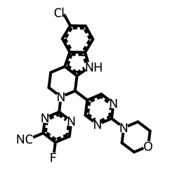 N#Cc1nc(N2CCc3c([nH]c4ccc(Cl)cc34)C2c2cnc(N3CCOCC3)nc2)ncc1F